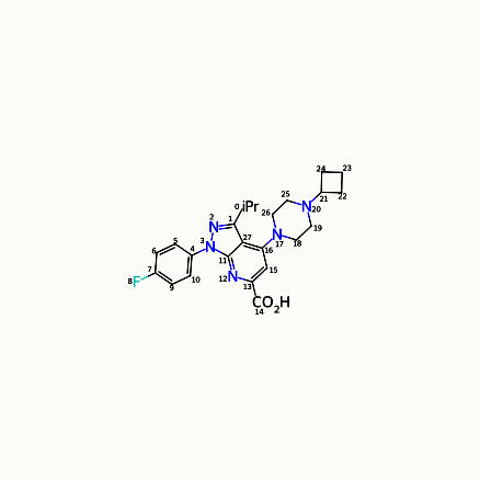 CC(C)c1nn(-c2ccc(F)cc2)c2nc(C(=O)O)cc(N3CCN(C4CCC4)CC3)c12